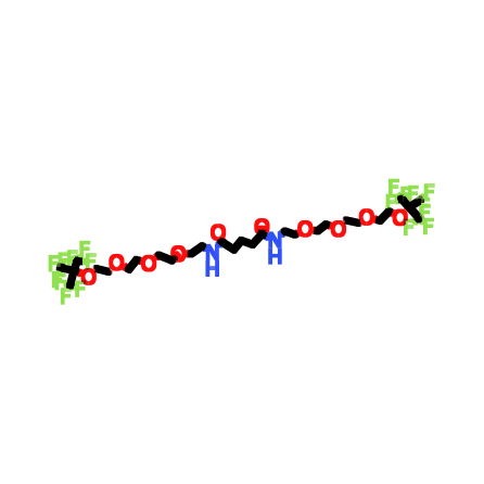 O=C(CCCC(=O)NCCOCCOCCOCCOC(C(F)(F)F)(C(F)(F)F)C(F)(F)F)NCCOCCOCCOCCOC(C(F)(F)F)(C(F)(F)F)C(F)(F)F